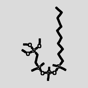 CCCCCCCCCC[Si](C)(C)O[Si](C)(C)O[Si](C)(C)CC[Si](OC)(OC)OC